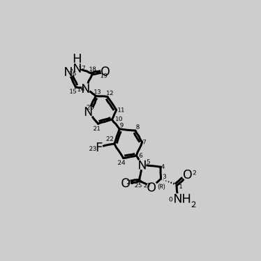 NC(=O)[C@H]1CN(c2ccc(-c3ccc(-n4cn[nH]c4=O)nc3)c(F)c2)C(=O)O1